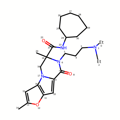 CCN(CC)CCCN1C(=O)c2cc3oc(C)cc3n2CC1(C)C(=O)NC1CCCCCC1